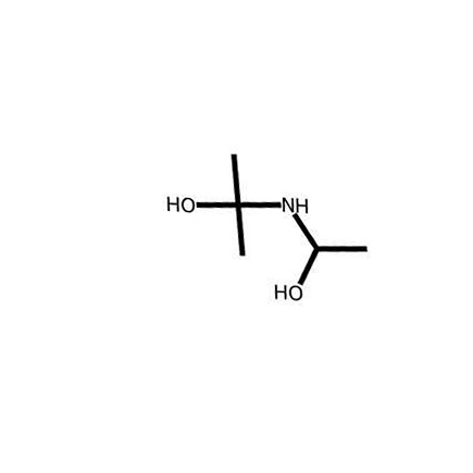 CC(O)NC(C)(C)O